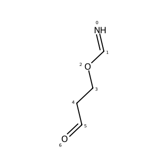 N=COCCC=O